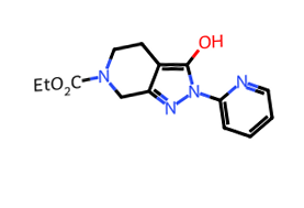 CCOC(=O)N1CCc2c(nn(-c3ccccn3)c2O)C1